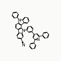 N#Cc1ccc2c3ccc4c(c5ccccc5n4-c4ccccc4)c3n(-c3cccc(-c4cc(-c5ccccc5)nc(-c5ccccc5)c4)c3)c2c1